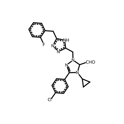 O=CC1N(Cc2nnc(Cc3ccccc3F)[nH]2)N=C(c2ccc(Cl)cc2)N1C1CC1